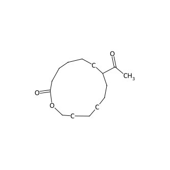 CC(=O)C1CCCCCCOC(=O)CCCCC1